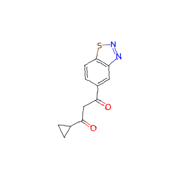 O=C(CC(=O)C1CC1)c1ccc2snnc2c1